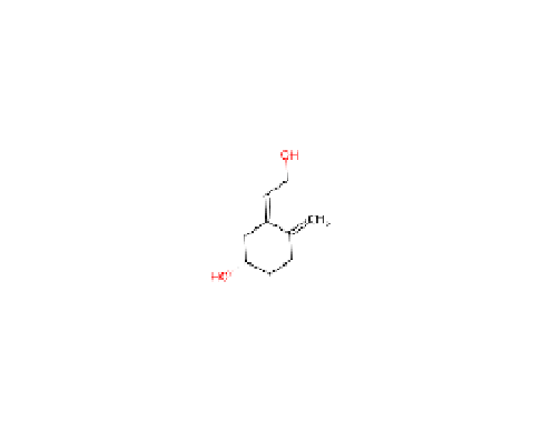 C=C1CC[C@H](O)C/C1=C/CO